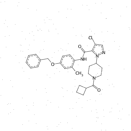 Cc1cc(OCc2ccccc2)ccc1NC(=O)c1c(Cl)cnn1C1CCN(C(=O)C2CCC2)CC1